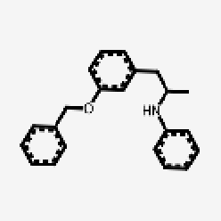 CC(Cc1cccc(OCc2ccccc2)c1)Nc1ccccc1